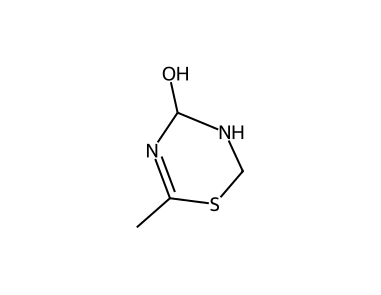 CC1=NC(O)NCS1